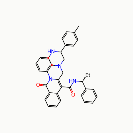 CC[C@H](NC(=O)c1c(CN2CCNC(c3ccc(C)cc3)C2)n(-c2ccccc2)c(=O)c2ccccc12)c1ccccc1